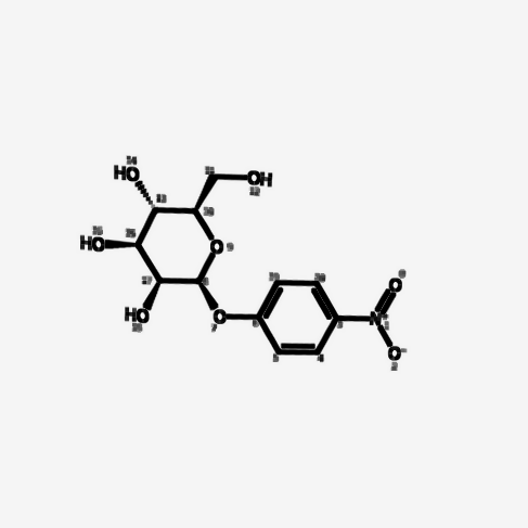 O=[N+]([O-])c1ccc(O[C@@H]2O[C@H](CO)[C@@H](O)[C@H](O)[C@@H]2O)cc1